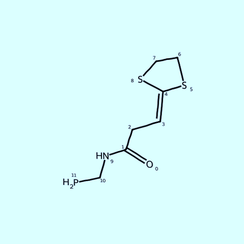 O=C(CC=C1SCCS1)NCP